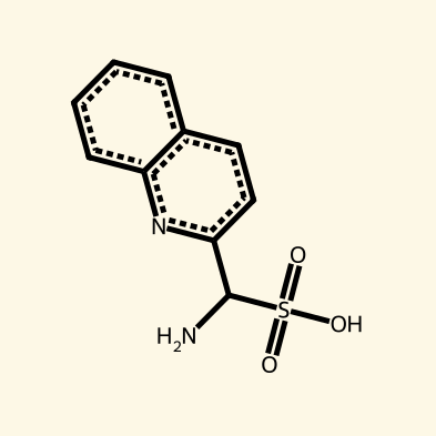 NC(c1ccc2ccccc2n1)S(=O)(=O)O